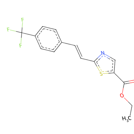 CCOC(=O)c1cnc(/C=C/c2ccc(C(F)(F)F)cc2)s1